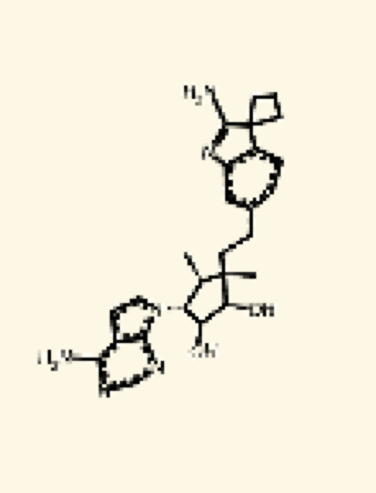 C[C@@H]1[C@@H](n2ccc3c(N)ncnc32)[C@H](O)[C@H](O)[C@@]1(C)CCc1ccc2c(c1)N=C(N)C21CCC1